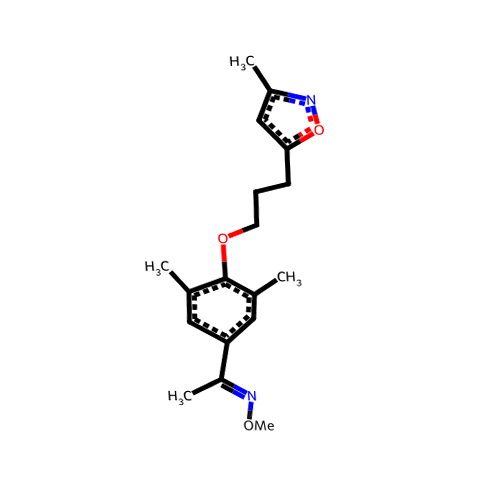 CON=C(C)c1cc(C)c(OCCCc2cc(C)no2)c(C)c1